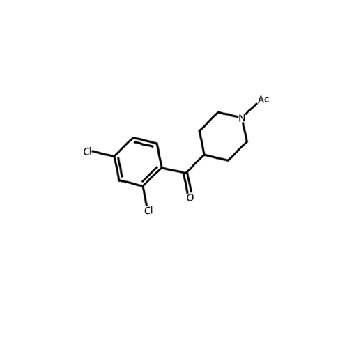 CC(=O)N1CCC(C(=O)c2ccc(Cl)cc2Cl)CC1